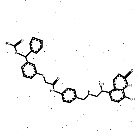 O=C(O)NC(c1ccccc1)c1cccc(OCC(=O)Nc2ccc(CNC[C@@H](O)c3ccc(O)c4[nH]c(=O)ccc34)cc2)c1